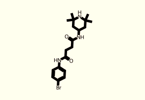 CC1(C)CC(NC(=O)CCC(=O)Nc2ccc(Br)cc2)CC(C)(C)N1